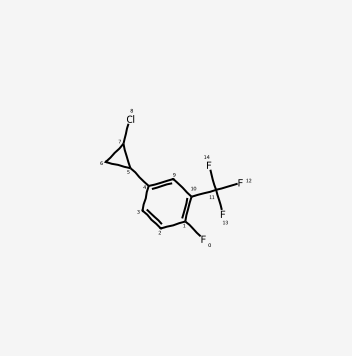 Fc1ccc(C2CC2Cl)cc1C(F)(F)F